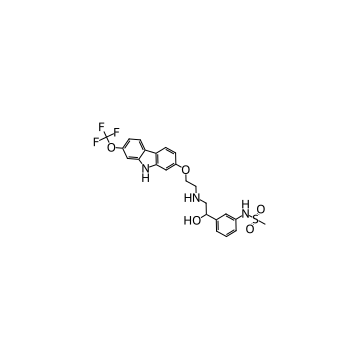 CS(=O)(=O)Nc1cccc(C(O)CNCCOc2ccc3c(c2)[nH]c2cc(OC(F)(F)F)ccc23)c1